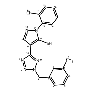 Cc1cccc(Cn2nnc(-c3cnn(-c4ccccc4Cl)c3S)n2)c1